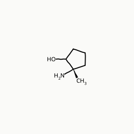 C[C@]1(N)CCCC1O